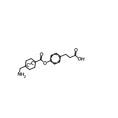 NCC12CCC(C(=O)Oc3ccc(CCC(=O)O)cc3)(CC1)CC2